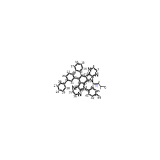 CC/C=C/n1c2nccnc2c2c(-c3ccccc3)c(-c3cccc(-c4ccccc4)c3)c3c4nccnc4n(-c4ccc(C)cc4)c3c21